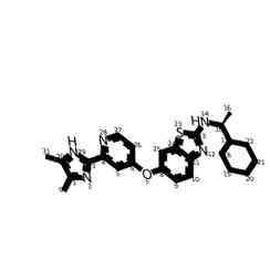 Cc1nc(-c2cc(Oc3ccc4nc(N[C@@H](C)C5CCCCC5)sc4c3)ccn2)[nH]c1C